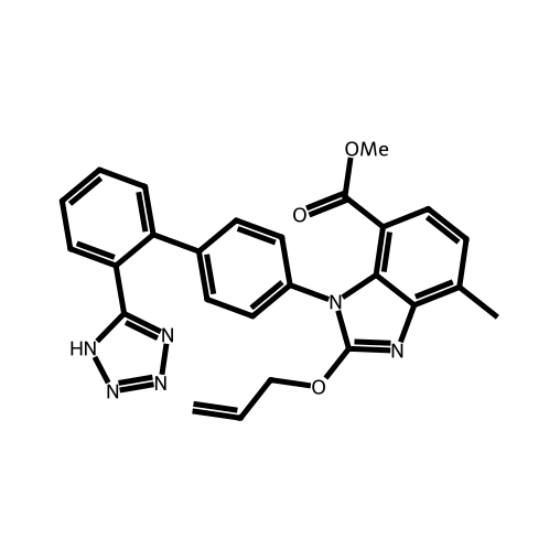 C=CCOc1nc2c(C)ccc(C(=O)OC)c2n1-c1ccc(-c2ccccc2-c2nnn[nH]2)cc1